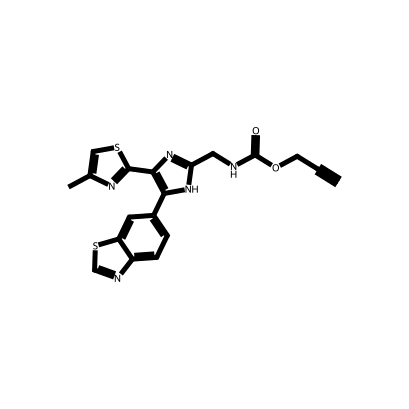 C#CCOC(=O)NCc1nc(-c2nc(C)cs2)c(-c2ccc3ncsc3c2)[nH]1